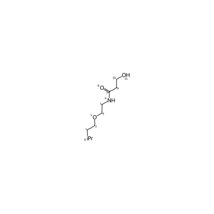 CC(C)CCOCCNC(=O)CCO